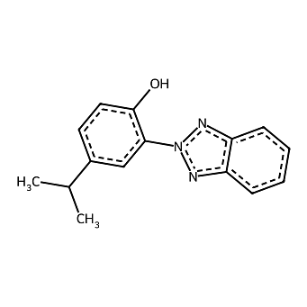 CC(C)c1ccc(O)c(-n2nc3ccccc3n2)c1